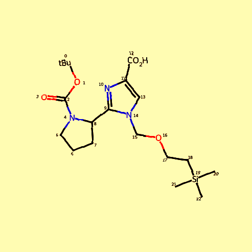 CC(C)(C)OC(=O)N1CCCC1c1nc(C(=O)O)cn1COCC[Si](C)(C)C